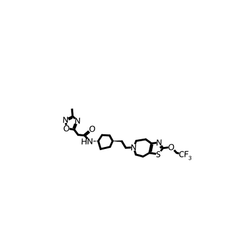 Cc1noc(CC(=O)N[C@H]2CC[C@H](CCN3CCc4nc(OCC(F)(F)F)sc4CC3)CC2)n1